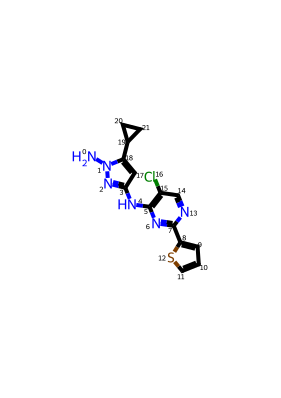 Nn1nc(Nc2nc(-c3cccs3)ncc2Cl)cc1C1CC1